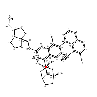 C#Cc1c(F)ccc2cccc(-c3c(F)cc4c(N5CC6CC[C@@H](C5)N6C(=O)OC(C)(C)C)nc(OC[C@@]56CCCN5[C@H](CO)CC6)nc4c3F)c12